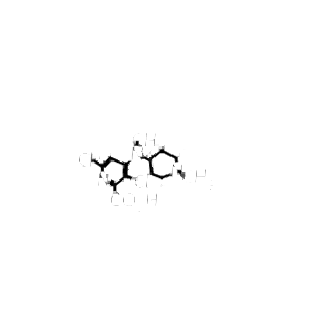 CN1CCC(N(C)c2cc(Cl)nc(C(=O)O)c2Cl)CC1